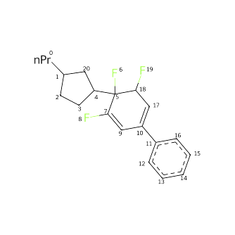 CCCC1CCC(C2(F)C(F)=CC(c3ccccc3)=CC2F)C1